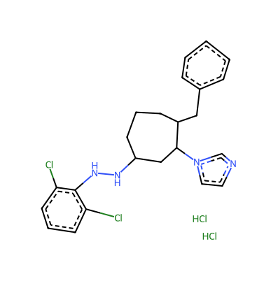 Cl.Cl.Clc1cccc(Cl)c1NNC1CCCC(Cc2ccccc2)C(n2ccnc2)C1